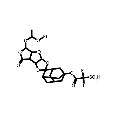 CCOC(C)OC1OC(=O)C2C1OC1OC3(OC12)C1CC2CC3CC(OC(=O)C(F)(F)S(=O)(=O)O)(C2)C1